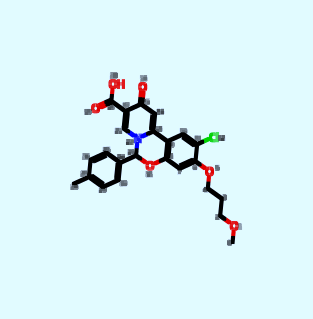 COCCCOc1cc2c(cc1Cl)-c1cc(=O)c(C(=O)O)cn1C(c1ccc(C)cc1)O2